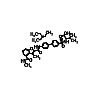 CCN(CC)CC.CNC(=O)c1cccc2oc(C(=O)Nc3ccc(-c4ccc(S(=O)(=O)N[C@H](C(=O)O)C(C)C)cc4)cc3)c(C)c12